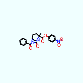 CC1(C(=O)Oc2ccc([N+](=O)[O-])cc2)CCC2CN1C(=O)N2C(=O)c1ccccc1